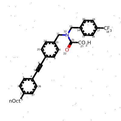 CCCCCCCCc1ccc(C#Cc2ccc(CN(Cc3ccc(C(F)(F)F)cc3)C(=O)C(=O)O)cc2)cc1